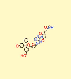 CNC(=O)CCC1CCC(=O)N(c2ncnc3c2ncn3[C@H]2CC[C@@H](COC(c3ccccc3)(c3ccc(CO)cc3)c3ccc(OC)cc3)O2)C1=O